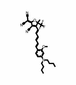 CCCCN(CCCC)c1ccc(C=CC=CC=CC2=C(C#N)C(=C(C#N)C#N)OC2(C)C(F)(F)F)c(OC)c1